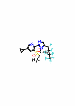 CCS(=O)(=O)c1cc(C2CC2)cnc1-c1ncc([C@H](F)C(F)(F)C(F)(F)C(F)(F)F)n1C